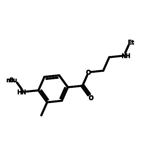 CCCCNc1ccc(C(=O)OCCNCC)cc1C